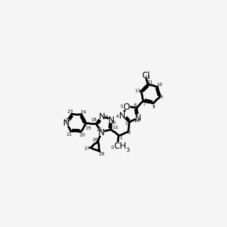 CC(Cc1noc(-c2cccc(Cl)c2)n1)c1nnc(-c2ccncc2)n1C1CC1